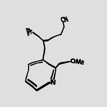 COc1ncccc1C(CC#N)C(C)C